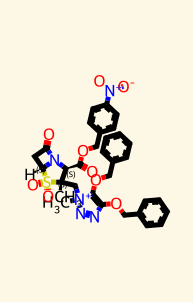 C[C@]1(C[N+]2(C)N=NC(OCc3ccccc3)=C2OCc2ccccc2)[C@H](C(=O)OCc2ccc([N+](=O)[O-])cc2)N2C(=O)C[C@@H]2S1(=O)=O